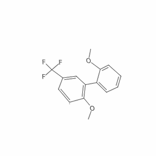 COc1[c]cc(C(F)(F)F)cc1-c1ccccc1OC